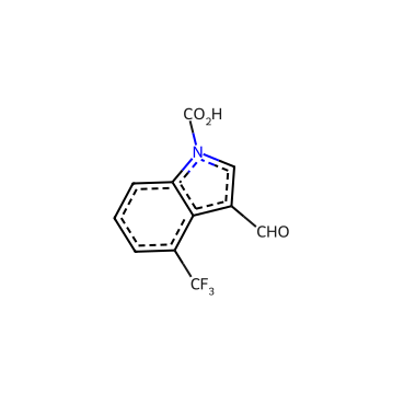 O=Cc1cn(C(=O)O)c2cccc(C(F)(F)F)c12